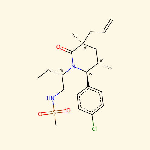 C=CC[C@@]1(C)C[C@H](C)[C@@H](c2ccc(Cl)cc2)N([C@@H](CC)CNS(C)(=O)=O)C1=O